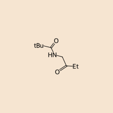 CCC(=O)CNC(=O)C(C)(C)C